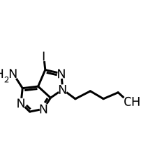 CCCCCn1nc(I)c2c(N)ncnc21